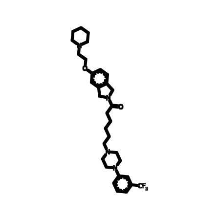 O=C(CCCCCN1CCN(c2cccc(C(F)(F)F)c2)CC1)N1Cc2ccc(OCCN3CCCCC3)cc2C1